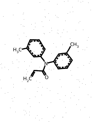 C=CC(=O)N(c1cccc(C)c1)c1cccc(C)c1